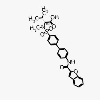 CC(C)[C@H](C(=O)O)N(C)S(=O)(=O)c1ccc(-c2ccc(NC(=O)c3cc4ccccc4o3)cc2)cc1